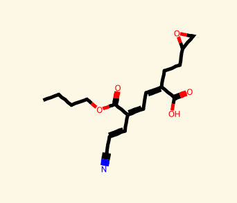 CCCCOC(=O)C(C=CC#N)=CC=C(CCC1CO1)C(=O)O